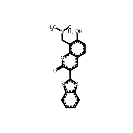 CN(C)Cc1c(O)ccc2cc(-c3nc4ccccc4s3)c(=O)oc12